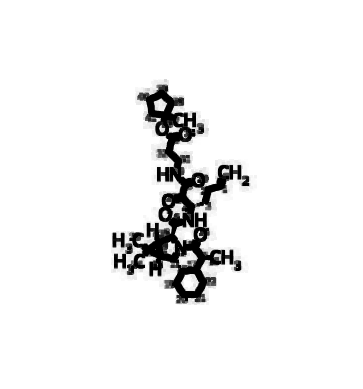 C=CCC[C@H](NC(=O)[C@@H]1[C@@H]2[C@H](CN1C(=O)[C@@H](C)C1CCCCC1)C2(C)C)C(=O)C(=O)NCCC(=O)OC1(C)CCCC1